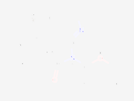 O=C1N(C2CCCCO2)c2nccc(Br)c2C12CCCC2